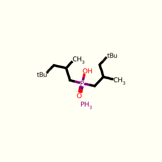 CC(CC(C)(C)C)CP(=O)(O)CC(C)CC(C)(C)C.P